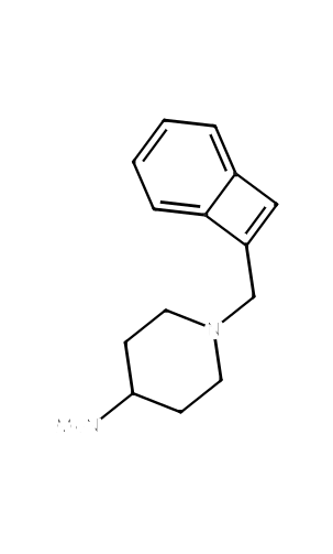 CNC1CCN(CC2=Cc3ccccc32)CC1